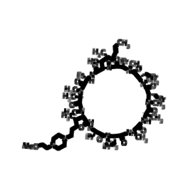 C/C=C/C[C@@H](C)[C@@H](O)[C@H]1C(=O)N[C@@H](CC)C(=O)N(C)[C@H](C)C(=O)N(C)[C@@H]([C@H](C)CCCN2CCN(CCOC)CC2)C(=O)N[C@@H](C(C)C)C(=O)N(C)[C@@H](CC(C)C)C(=O)N[C@@H](C)C(=O)N[C@H](C)C(=O)N(C)[C@@H](CC(C)C)C(=O)N(C)[C@@H](CC(C)C)C(=O)N(C)[C@@H](C(C)C)C(=O)N1C